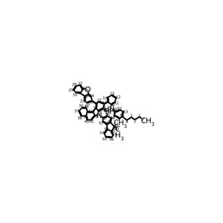 CCCCCc1ccc(Nc2ccccc2-c2cc(-c3ccc4c(c3)oc3ccccc34)c3c4c5ccccc5ccc4n4c3c2Bc2cc3c(cc2-4)-c2ccccc2C3(C)C)cc1